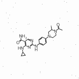 CC(=O)N1CCN(c2ccc(Nc3ncc(C(N)=O)c(NC4CC4)n3)cc2)CC1C